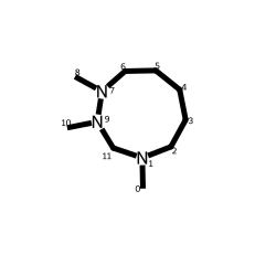 CN1CCCCCN(C)N(C)C1